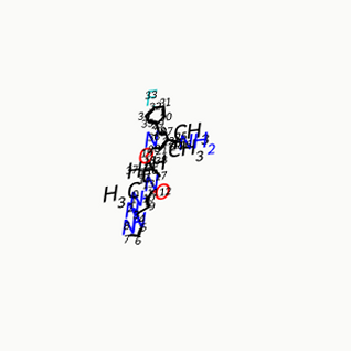 Cn1nc(-n2cccn2)cc1C(=O)N1C[C@@H]2[C@H](C1)[C@@H]2Oc1cc(C(C)(C)N)cc(-c2ccc(F)cc2)n1